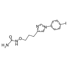 NC(=O)NOCCCc1cn(-c2ccc(I)cc2)cn1